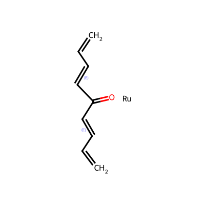 C=C/C=C/C(=O)/C=C/C=C.[Ru]